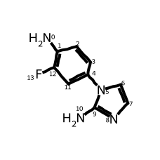 Nc1ccc(-n2ccnc2N)cc1F